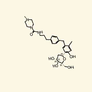 Cc1cc(O)c([C@H]2C[C@@H](O)[C@H](O)[C@@H](CO)O2)cc1Cc1ccc(CCCNC(=O)N2CCN(C)CC2)cc1